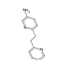 Nc1ccc(CCc2ccccn2)nc1